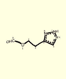 O=COCCc1cn[nH]n1